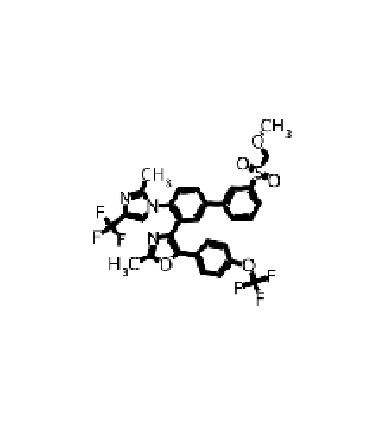 COCS(=O)(=O)c1cccc(-c2ccc(-n3cc(C(F)(F)F)nc3C)c(-c3nc(C)oc3-c3ccc(OC(F)(F)F)cc3)c2)c1